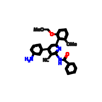 COCOc1cccc(OC)c1-c1cc(-c2cccc(N)c2)c(C#N)c(NC(=O)c2ccccc2)n1